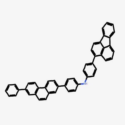 c1ccc(-c2ccc3c(ccc4cc(-c5ccc(Nc6ccc(-c7ccc8c9c(cccc79)-c7ccccc7-8)cc6)cc5)ccc43)c2)cc1